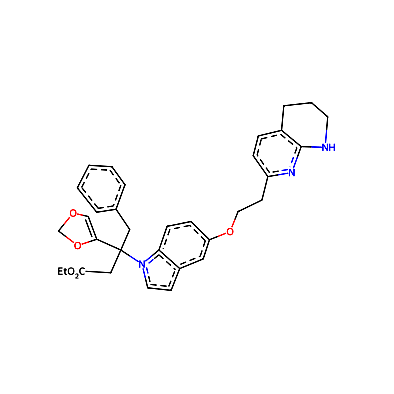 CCOC(=O)CC(Cc1ccccc1)(C1=COCO1)n1ccc2cc(OCCc3ccc4c(n3)NCCC4)ccc21